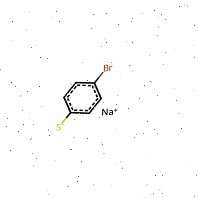 [Na+].[S-]c1ccc(Br)cc1